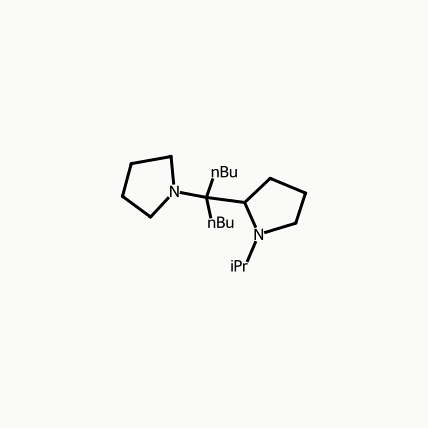 CCCCC(CCCC)(C1CCCN1C(C)C)N1CCCC1